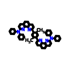 Cc1cc(-c2ccc3ccc4ccc(N(c5ccccc5)c5ccccc5)nc4c3n2)c(C)cc1-c1ccc2ccc3ccc(N(c4ccccc4)c4ccccc4)nc3c2n1